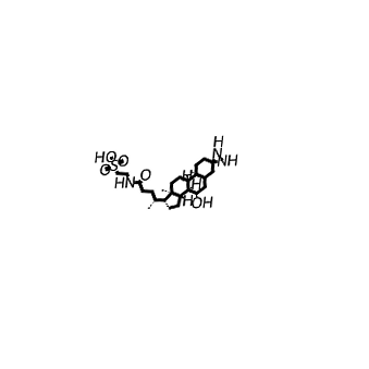 C[C@H](CCC(=O)NCCS(=O)(=O)O)[C@H]1CC[C@H]2[C@@H]3[C@@H](O)CC4CC5(CC[C@]4(C)[C@H]3CC[C@]12C)NN5